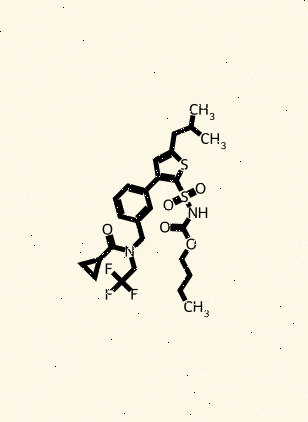 CCCCOC(=O)NS(=O)(=O)c1sc(CC(C)C)cc1-c1cccc(CN(CC(F)(F)F)C(=O)C2CC2)c1